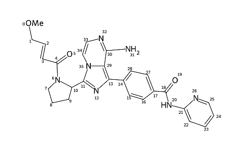 COCC=CC(=O)N1CCCC1c1nc(-c2ccc(C(=O)Nc3ccccn3)cc2)c2c(N)nccn12